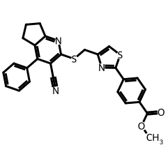 COC(=O)c1ccc(-c2nc(CSc3nc4c(c(-c5ccccc5)c3C#N)CCC4)cs2)cc1